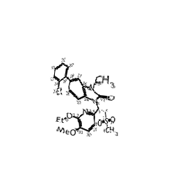 CCOc1nc([C@@H](CS(C)(=O)=O)n2c(=O)n(C)c3cc(-c4ccccc4CC)ccc32)ccc1OC